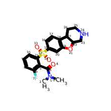 CN(C)C(=O)c1c(F)cccc1S(=O)(=O)c1ccc2c(c1)OC1CNCCC21